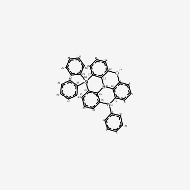 c1ccc(N2c3cccc4c3B3c5c(cccc5[Si](c5ccccc5)(c5ccccc5)c5cccc2c53)O4)cc1